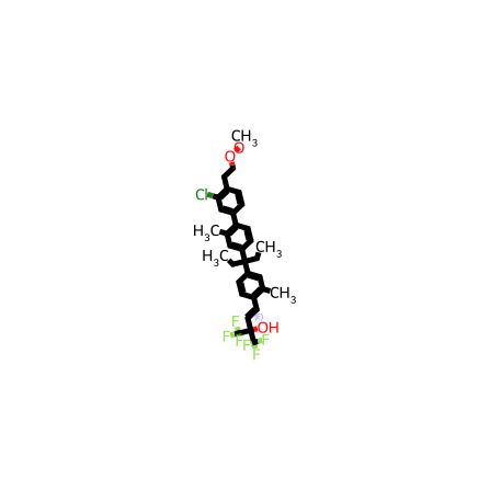 CCC(CC)(c1ccc(/C=C/C(O)(C(F)(F)F)C(F)(F)F)c(C)c1)c1ccc(-c2ccc(CCOOC)c(Cl)c2)c(C)c1